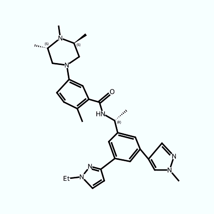 CCn1ccc(-c2cc(-c3cnn(C)c3)cc([C@@H](C)NC(=O)c3cc(N4C[C@H](C)N(C)[C@@H](C)C4)ccc3C)c2)n1